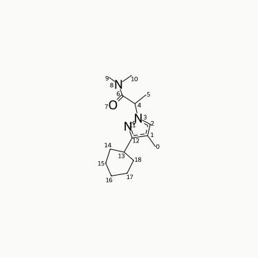 Cc1cn(C(C)C(=O)N(C)C)nc1C1CCCCC1